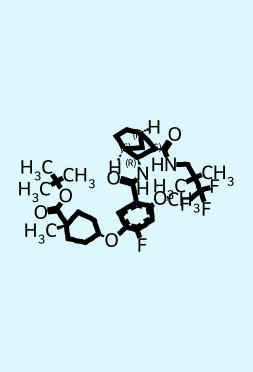 COc1cc(F)c(O[C@H]2CC[C@@](C)(C(=O)OC(C)(C)C)CC2)cc1C(=O)N[C@@H]1[C@H]2CC[C@H](C2)[C@@H]1C(=O)NCC(C)(C)C(F)(F)F